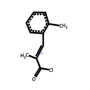 C/C(=C\c1ccccc1C)C(=O)Cl